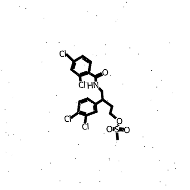 CS(=O)(=O)OCCC(CNC(=O)c1ccc(Cl)cc1Cl)c1ccc(Cl)c(Cl)c1